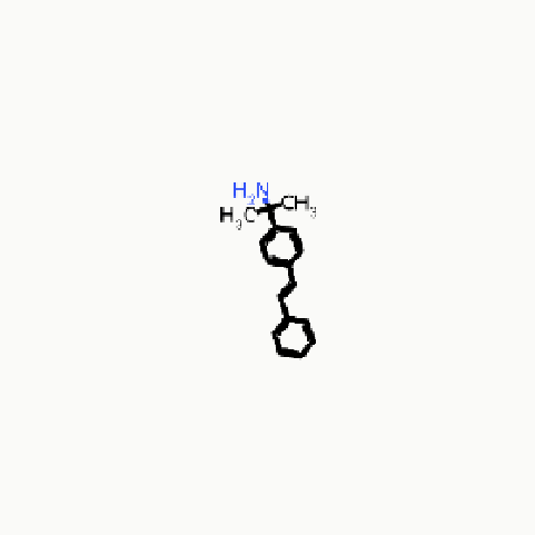 CC(C)(N)c1ccc(C=Cc2ccccc2)cc1